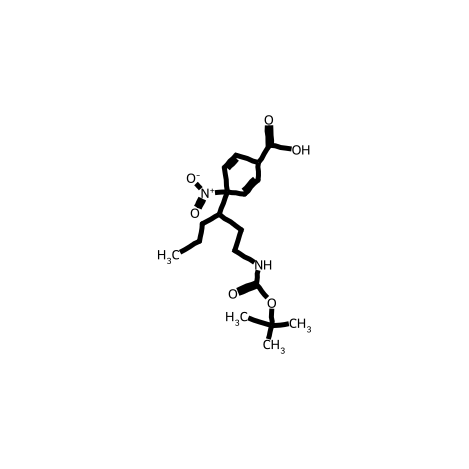 CCCC(CCNC(=O)OC(C)(C)C)C1([N+](=O)[O-])C=CC(C(=O)O)C=C1